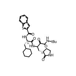 CC(C)(C)NC(=O)C(=O)C(C[C@@H]1CCNC1=O)NC(=O)[C@H](CC1CCCCC1)NC(=O)c1cc2ccccc2s1